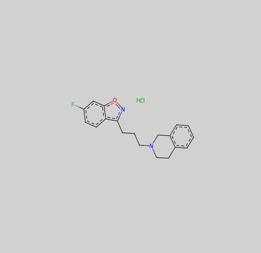 Cl.Fc1ccc2c(CCCN3CCc4ccccc4C3)noc2c1